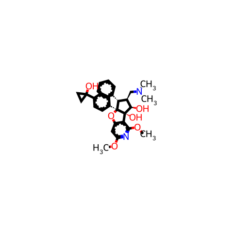 COc1cc2c(c(OC)n1)[C@]1(O)[C@H](O)[C@H](CN(C)C)[C@@H](c3ccccc3)[C@]1(c1ccc(C3(O)CC3)cc1)O2